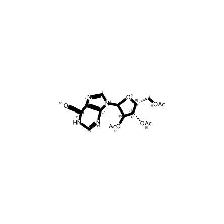 CC(=O)OC[C@H]1OC(n2cnc3c(=O)[nH]cnc32)C(OC(C)=O)[C@H]1OC(C)=O